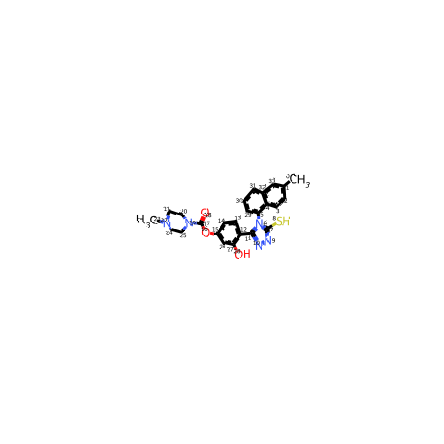 Cc1ccc2c(-n3c(S)nnc3-c3ccc(OC(=O)N4CCN(C)CC4)cc3O)cccc2c1